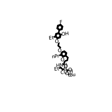 CCCc1c(OCCCOc2cc(O)c(-c3ccc(F)cc3)cc2CC)ccc2c1OC(C(=O)NC(CC)C(NC(=O)OC(C)(C)C)C(=O)O)CC2